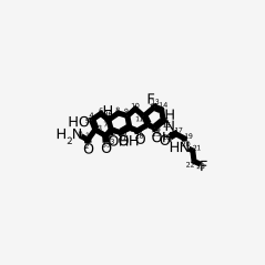 NC(=O)C1=C(O)C[C@@H]2CC3Cc4c(F)cc(NC(=O)CNCCF)c(O)c4C(=O)C3=C(O)[C@]2(O)C1=O